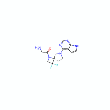 NCC(=O)N1CC(F)(F)[C@@]12CCN(c1ncnc3[nH]ccc13)C2